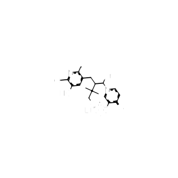 CCOC(=O)c1cn(C(CC)C(Cc2cc(O)c(Cl)nc2I)C(C)(C)COC(C)=O)ccc1=O